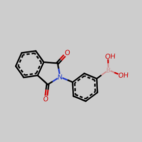 O=C1c2ccccc2C(=O)N1c1cccc(B(O)O)c1